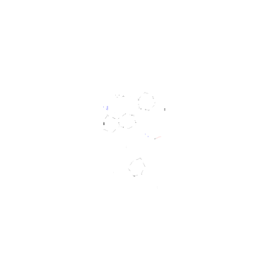 COc1cc(F)c(C(C)C)cc1-c1cc2c(N)cccc2cc1CN1C(=O)O[C@H](c2cc(C(F)(F)F)cc(C(F)(F)F)c2)[C@@H]1C